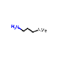 C[N]CCCN